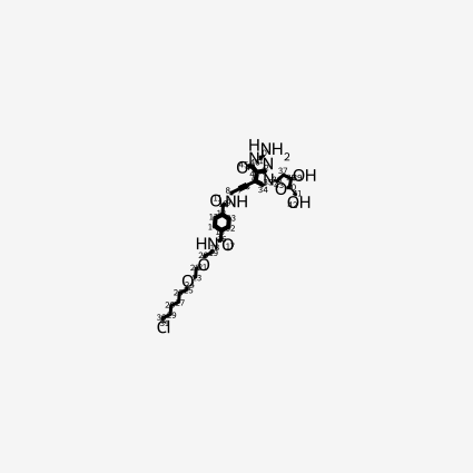 Nc1nc2c(c(C#CCNC(=O)c3ccc(C(=O)NCCOCCOCCCCCCCl)cc3)cn2[C@H]2CC(O)[C@@H](CO)O2)c(=O)[nH]1